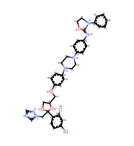 Clc1ccc(C2(Cn3cncn3)OCC(COc3ccc(N4CCN(c5ccc(/N=C6\OCCN6c6ccccc6)cc5)CC4)cc3)O2)c(Cl)c1